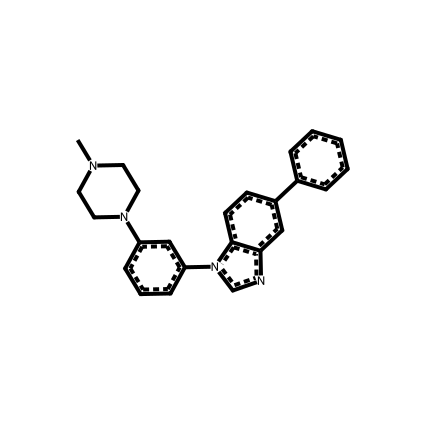 CN1CCN(c2cccc(-n3cnc4cc(-c5ccccc5)ccc43)c2)CC1